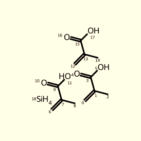 C=C(C)C(=O)O.C=C(C)C(=O)O.C=C(C)C(=O)O.[SiH4]